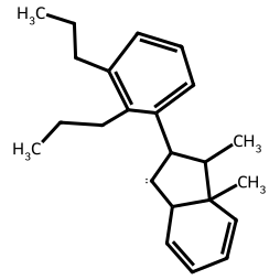 CCCc1cccc(C2[C]C3C=CC=CC3(C)C2C)c1CCC